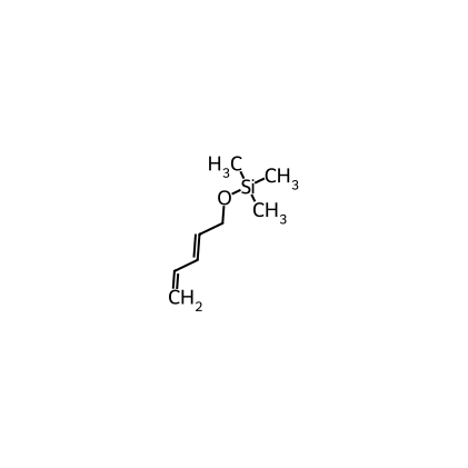 C=CC=CCO[Si](C)(C)C